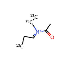 CC(=O)/[N+](=C/C[13CH3])[13CH2][13CH3]